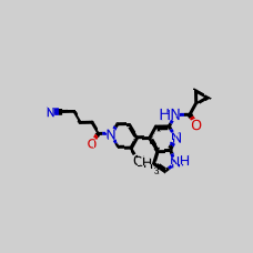 CC1CN(C(=O)CCCC#N)CC=C1c1cc(NC(=O)C2CC2)nc2[nH]ccc12